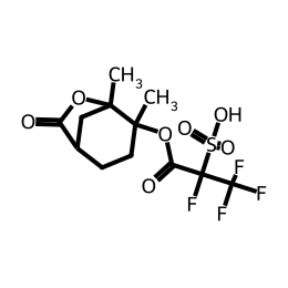 CC12CC(CCC1(C)OC(=O)C(F)(C(F)(F)F)S(=O)(=O)O)C(=O)O2